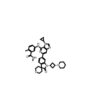 CNC(=O)c1cc(Nc2nc(-c3ccc4c(c3)N([C@H]3C[C@@H](N5CCCCC5)C3)C(=O)C43CCOCC3)cc3ncn(C4CC4)c23)ccc1C